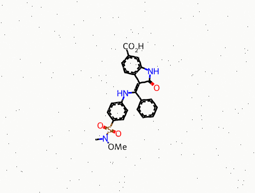 CON(C)S(=O)(=O)c1ccc(NC(=C2C(=O)Nc3cc(C(=O)O)ccc32)c2ccccc2)cc1